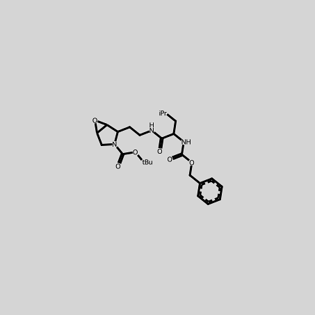 CC(C)CC(NC(=O)OCc1ccccc1)C(=O)NCCC1C2OC2CN1C(=O)OC(C)(C)C